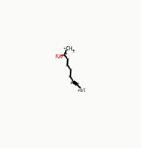 CCC#CCCCCC(C)O